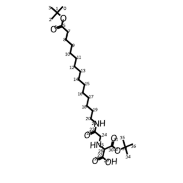 CC(C)(C)OC(=O)CCCCCCCCCCCCCCNC(=O)CNC(C(=O)O)C(=O)OC(C)(C)C